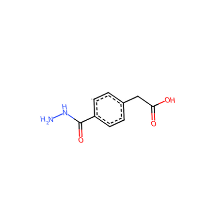 NNC(=O)c1[c]cc(CC(=O)O)cc1